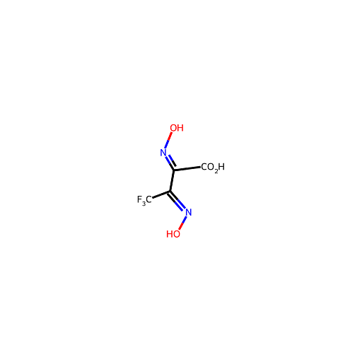 O=C(O)C(=N\O)/C(=N/O)C(F)(F)F